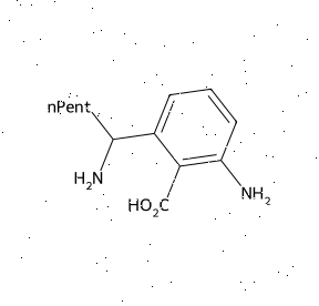 CCCCCC(N)c1cccc(N)c1C(=O)O